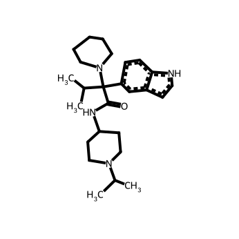 CC(C)N1CCC(NC(=O)C(c2ccc3[nH]ccc3c2)(C(C)C)N2CCCCC2)CC1